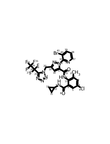 Cc1cc(Cl)cc(C(=O)NC2CC2)c1NC(=O)c1cc(Cn2nnnc2C(F)(F)C(F)(F)F)nn1-c1ncccc1Br